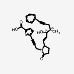 C[C@@H](CC#Cc1ccccc1)[C@H](O)C=CC1CCC(=O)N1CC#Cc1ccc(C(=O)O)s1